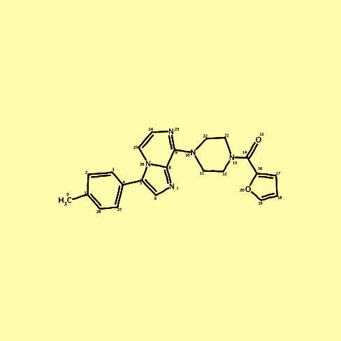 Cc1ccc(-c2cnc3c(N4CCN(C(=O)c5ccco5)CC4)nccn23)cc1